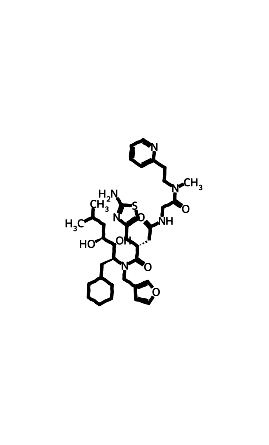 CC(C)C[C@H](O)[C@H](O)[C@H](CC1CCCCC1)N(Cc1ccoc1)C(=O)[C@@H](CC(=O)NCC(=O)N(C)CCc1ccccn1)Cc1csc(N)n1